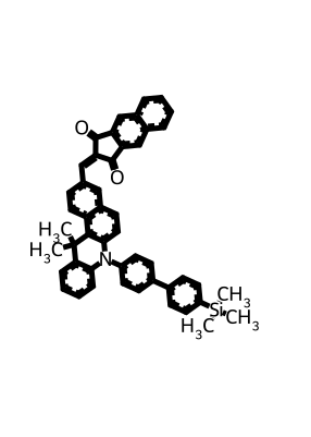 CC1(C)c2ccccc2N(c2ccc(-c3ccc([Si](C)(C)C)cc3)cc2)c2ccc3cc(C=C4C(=O)c5cc6ccccc6cc5C4=O)ccc3c21